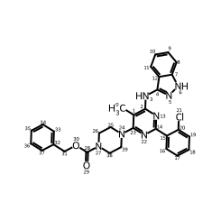 Cc1c(Nc2n[nH]c3ccccc23)nc(-c2ccccc2Cl)nc1N1CCN(C(=O)OCc2ccccc2)CC1